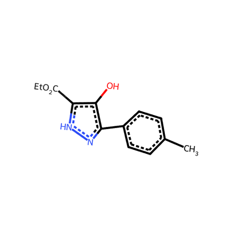 CCOC(=O)c1[nH]nc(-c2ccc(C)cc2)c1O